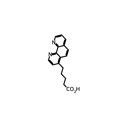 O=C(O)CCCCc1ccnc2c1ccc1cccnc12